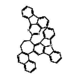 c1ccc2c(c1)-c1cccc3nc(C4CCc5ccc6ccccc6c5-c5cc6c7ccccc7n7c8ccccc8c(c54)c67)nc-2c13